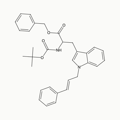 CC(C)(C)OC(=O)NC(Cc1cn(C/C=C/c2ccccc2)c2ccccc12)C(=O)OCc1ccccc1